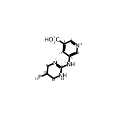 O=C(O)c1cncc(NC2=NCC(F)CN2)c1